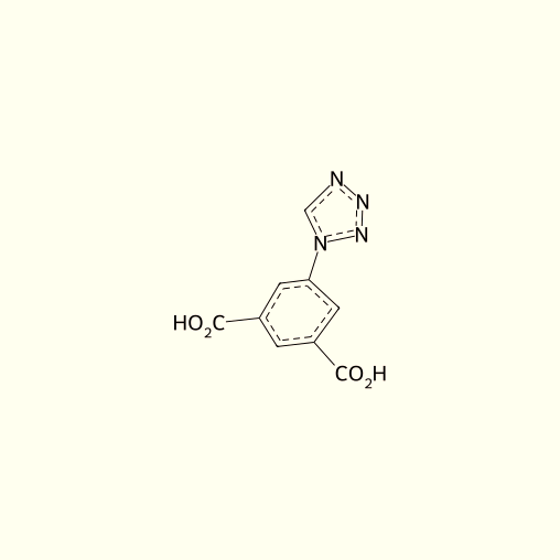 O=C(O)c1cc(C(=O)O)cc(-n2cnnn2)c1